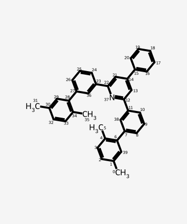 Cc1ccc(C)c(-c2cccc(-c3cc(-c4ccccc4)cc(-c4cccc(-c5cc(C)ccc5C)c4)n3)c2)c1